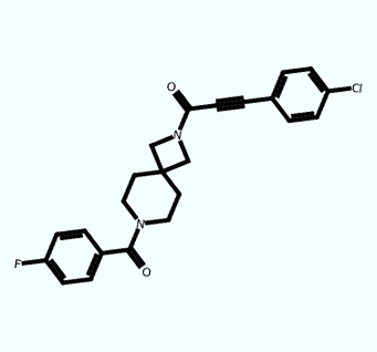 O=C(C#Cc1ccc(Cl)cc1)N1CC2(CCN(C(=O)c3ccc(F)cc3)CC2)C1